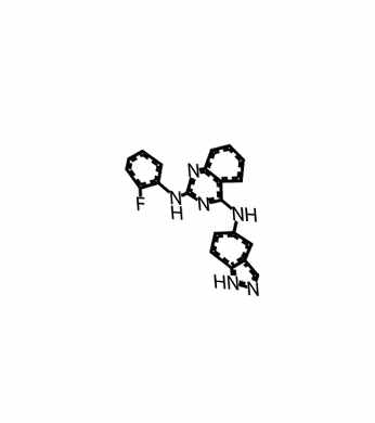 Fc1ccccc1Nc1nc(Nc2ccc3[nH]ncc3c2)c2ccccc2n1